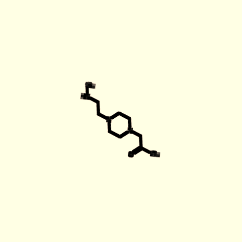 CC(C)(C)NCCN1CCN(CC(=O)C(C)(C)C)CC1